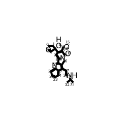 CC[C@@](O)(C=O)c1cc2n(c(=O)c1COC)Cc1c-2nc2ccccc2c1CCNC(C)C